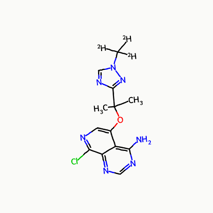 [2H]C([2H])([2H])n1cnc(C(C)(C)Oc2cnc(Cl)c3ncnc(N)c23)n1